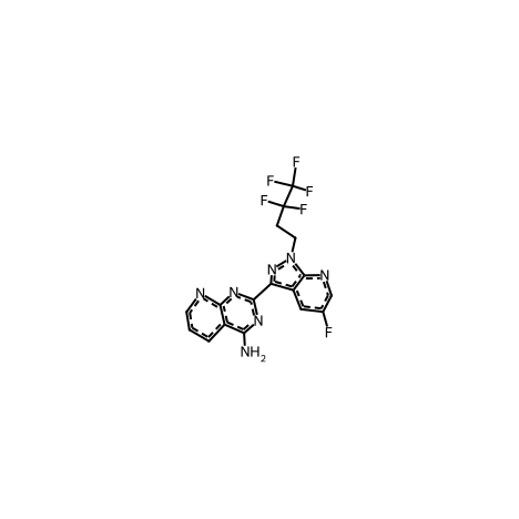 Nc1nc(-c2nn(CCC(F)(F)C(F)(F)F)c3ncc(F)cc23)nc2ncccc12